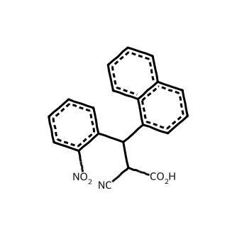 N#CC(C(=O)O)C(c1ccccc1[N+](=O)[O-])c1cccc2ccccc12